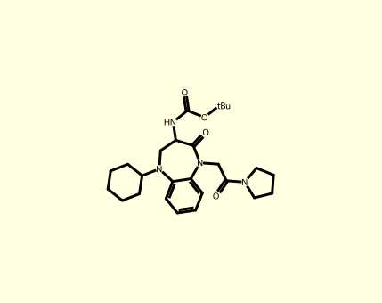 CC(C)(C)OC(=O)NC1CN(C2CCCCC2)c2ccccc2N(CC(=O)N2CCCC2)C1=O